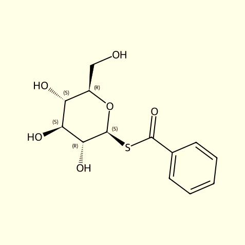 O=C(S[C@@H]1O[C@H](CO)[C@@H](O)[C@H](O)[C@H]1O)c1ccccc1